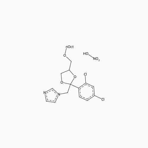 CCCCCCCCOCC1COC(Cn2ccnc2)(c2ccc(Cl)cc2Cl)O1.O=[N+]([O-])O